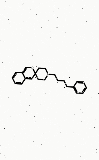 C1=c2ccccc2=CC2(CCN(CCCCc3ccccc3)CC2)O1